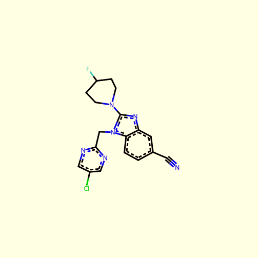 N#Cc1ccc2c(c1)nc(N1CCC(F)CC1)n2Cc1ncc(Cl)cn1